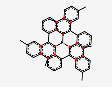 Cc1ccc(-c2cccc(-c3ccc(C)cc3)c2[S][Bi]([S]c2c(-c3ccc(C)cc3)cccc2-c2ccc(C)cc2)[S]c2c(-c3ccc(C)cc3)cccc2-c2ccc(C)cc2)cc1